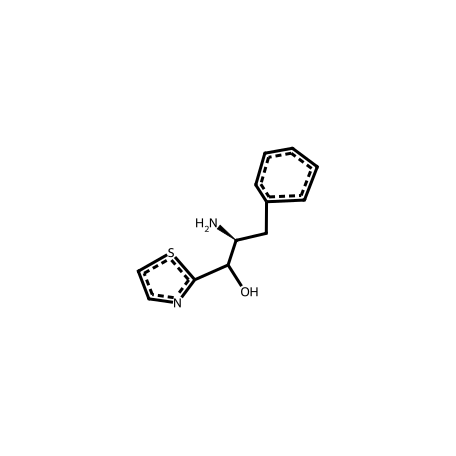 N[C@@H](Cc1ccccc1)C(O)c1nccs1